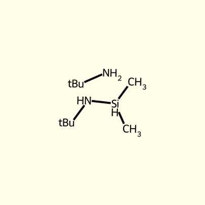 CC(C)(C)N.C[SiH](C)NC(C)(C)C